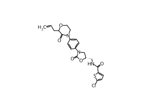 C=CCC1OCCN(c2ccc(N3C[C@H](CNC(=O)c4ccc(Cl)s4)OC3=O)cc2)C1=O